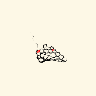 COCCOCCN1CC2C3=c4c5c6c7c(cc8cc9cc%10cc%11cc%12c%13c(c4c4c5c5c7c8c7c9c%10c8c%11c%13c4c8c75)=C(C3)C%12)CC62C1c1ccc(-c2cccs2)s1